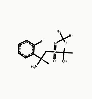 [2H]C([2H])([2H])N=S(=O)(C[C@](C)(N)c1ccccc1F)C(C)(C)C#N